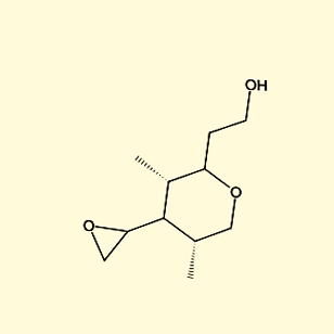 C[C@@H]1C(CCO)OC[C@H](C)C1C1CO1